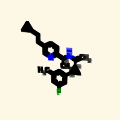 C=C(N[C@H](C)c1ccc(CCC2CC2)cn1)[C@@H]1C[C@H]1c1cc(C)cc(F)c1